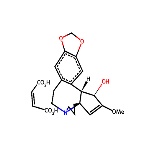 COC1=C[C@]23CCCN2CCc2cc4c(cc2[C@@H]3[C@@H]1O)OCO4.O=C(O)/C=C\C(=O)O